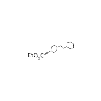 CCOC(=O)C#CC1CCC(CCC2CCCCC2)CC1